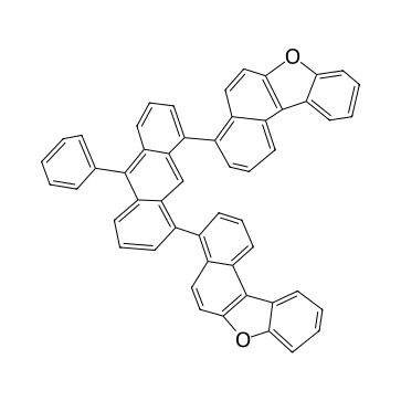 c1ccc(-c2c3cccc(-c4cccc5c4ccc4oc6ccccc6c45)c3cc3c(-c4cccc5c4ccc4oc6ccccc6c45)cccc23)cc1